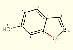 Oc1ccc2cboc2c1